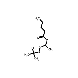 CCCCC(=O)OC(C)OOC(C)(C)C